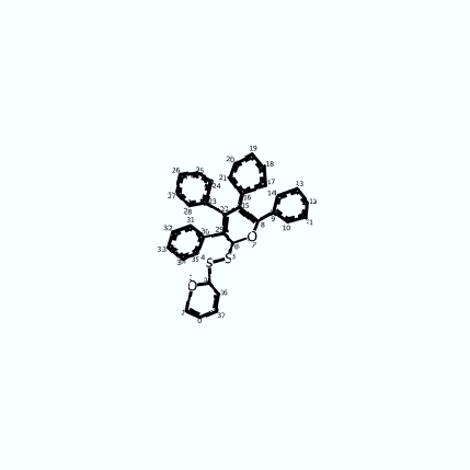 C1=COC(SSC2OC(c3ccccc3)=C(c3ccccc3)C(c3ccccc3)=C2c2ccccc2)C=C1